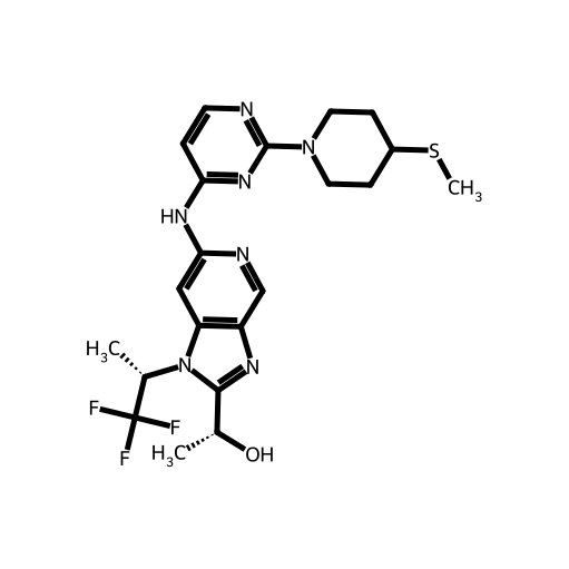 CSC1CCN(c2nccc(Nc3cc4c(cn3)nc([C@@H](C)O)n4[C@@H](C)C(F)(F)F)n2)CC1